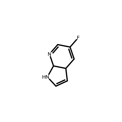 FC1=CC2C=CNC2N=C1